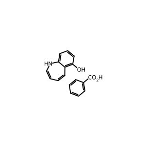 O=C(O)c1ccccc1.Oc1cccc2c1C=CC=CN2